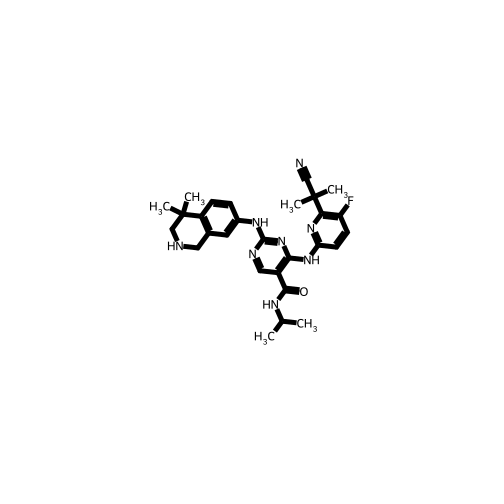 CC(C)NC(=O)c1cnc(Nc2ccc3c(c2)CNCC3(C)C)nc1Nc1ccc(F)c(C(C)(C)C#N)n1